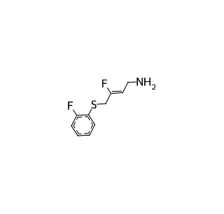 NC/C=C(\F)CSc1ccccc1F